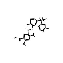 CNC(=O)c1cc(C(O)Nc2cc(C(C)(c3ccc(O)c(C)c3)C(F)(F)F)ccc2O)c(C(=O)O)cc1C(=O)O